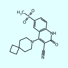 CS(=O)(=O)c1ccc2[nH]c(=O)c(C#N)c(N3CCC4(CCC4)CC3)c2c1